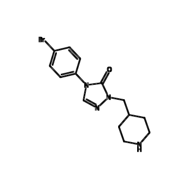 O=c1n(-c2ccc(Br)cc2)cnn1CC1CCNCC1